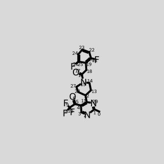 Cc1ncc(C(=O)C(F)(F)F)c(C2CCN(C(=O)Cc3c(F)cccc3F)CC2)n1